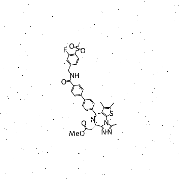 COC(=O)C[C@@H]1N=C(c2ccc(-c3ccc(C(=O)NCc4ccc(S(C)(=O)=O)c(F)c4)cc3)cc2)c2c(sc(C)c2C)-n2c(C)nnc21